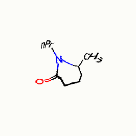 [CH2]CCN1C(=O)CCC1C